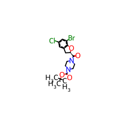 CC(C)(C)OC(=O)N1CCN(C(=O)[C@H]2Cc3cc(Cl)cc(Br)c3O2)CC1